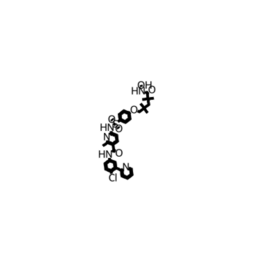 Cc1nc(NS(=O)(=O)c2ccc(OCC(C)(C)CC(C)(C)C(=O)NO)cc2)ccc1C(=O)Nc1ccc(Cl)c(-c2ccccn2)c1